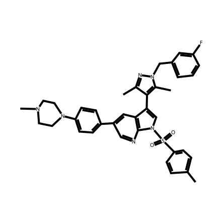 Cc1ccc(S(=O)(=O)n2cc(-c3c(C)nn(Cc4cccc(F)c4)c3C)c3cc(-c4ccc(N5CCN(C)CC5)cc4)cnc32)cc1